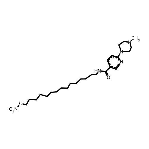 CN1CCN(c2ccc(C(=O)NCCCCCCCCCCCCCCCO[N+](=O)[O-])cn2)CC1